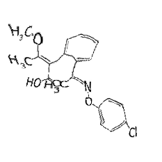 COC(C)=C(C(=O)O)c1ccccc1C(C)=NOc1ccc(Cl)cc1